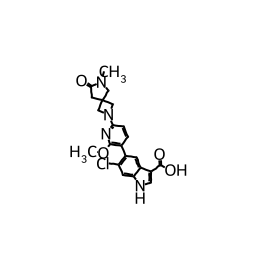 COc1nc(N2CC3(CC(=O)N(C)C3)C2)ccc1-c1cc2c(C(=O)O)c[nH]c2cc1Cl